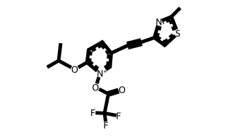 Cc1nc(C#Cc2ccc(OC(C)C)[n+](OC(=O)C(F)(F)F)c2)cs1